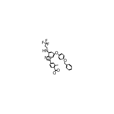 COC(=O)c1ccc(-c2cnc3c(NCCC(F)(F)F)cc(Oc4ccc(OCc5ccccc5)cc4)cn23)cc1C